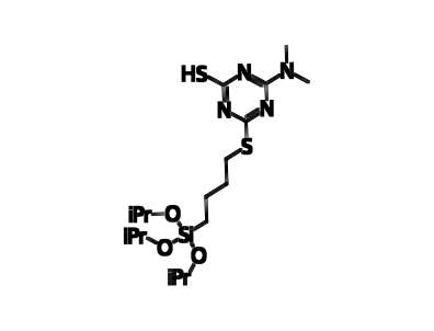 CC(C)O[Si](CCCCSc1nc(S)nc(N(C)C)n1)(OC(C)C)OC(C)C